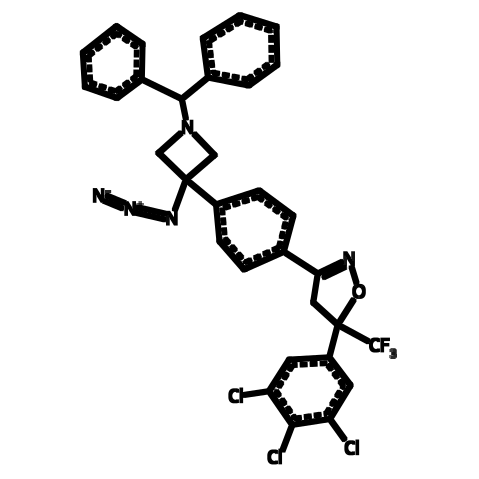 [N-]=[N+]=NC1(c2ccc(C3=NOC(c4cc(Cl)c(Cl)c(Cl)c4)(C(F)(F)F)C3)cc2)CN(C(c2ccccc2)c2ccccc2)C1